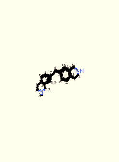 CN1CCc2ccc(Cc3ccc4c(c3)CNCC4)cc2C1